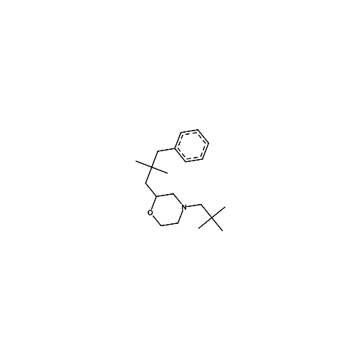 CC(C)(C)CN1CCOC(CC(C)(C)Cc2ccccc2)C1